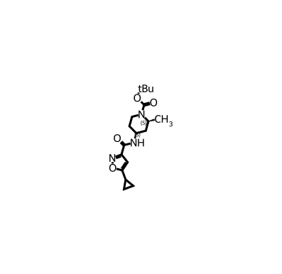 C[C@H]1C[C@@H](NC(=O)c2cc(C3CC3)on2)CCN1C(=O)OC(C)(C)C